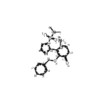 CN(C)S(=O)(=O)n1ccnc1-c1c(OCc2ccccc2)c(=O)ccn1N